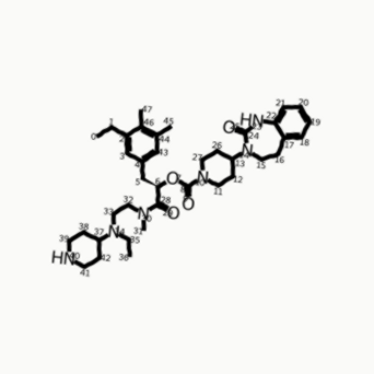 CCc1cc(C[C@@H](OC(=O)N2CCC(N3CCc4ccccc4NC3=O)CC2)C(=O)N(C)CCN(CC)C2CCNCC2)cc(C)c1C